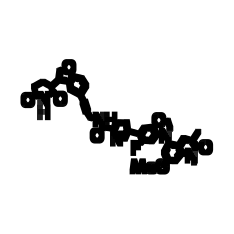 COc1cc(N2CCOc3cc(-c4ccc(C(=O)NCC#Cc5ccc6occ(C7CCC(=O)NC7=O)c6c5)nc4)c(F)cc32)c2cc(C)c(=O)n(C)c2c1